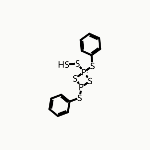 SS[P]1(Sc2ccccc2)SP(Sc2ccccc2)S1